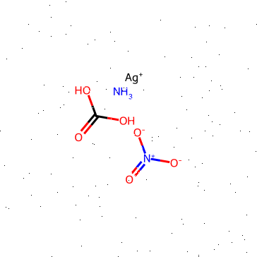 N.O=C(O)O.O=[N+]([O-])[O-].[Ag+]